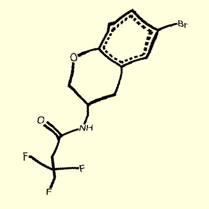 O=C(NC1COc2ccc(Br)cc2C1)C(F)(F)F